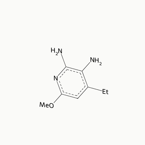 CCc1cc(OC)nc(N)c1N